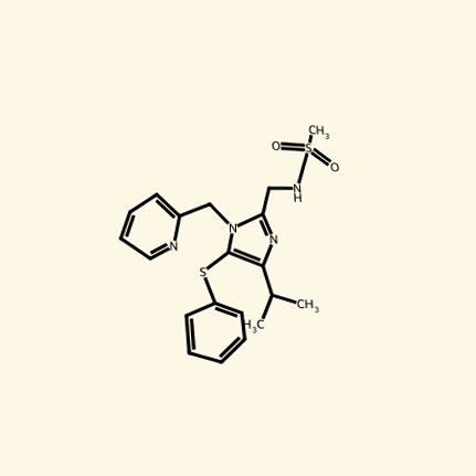 CC(C)c1nc(CNS(C)(=O)=O)n(Cc2ccccn2)c1Sc1ccccc1